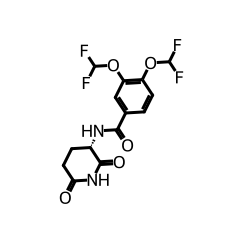 O=C1CC[C@H](NC(=O)c2ccc(OC(F)F)c(OC(F)F)c2)C(=O)N1